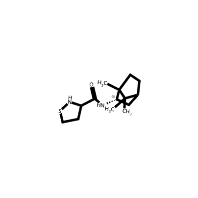 CC1(C)C2CCC1(C)[C@@H](NC(=O)C1CCSN1)C2